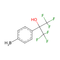 Bc1ccc(C(O)(C(F)(F)F)C(F)(F)F)cc1